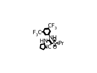 CC(C)S(=O)(=O)/C(C#N)=C(\Nc1cc(C(F)(F)F)cc(C(F)(F)F)c1)NC1CCCC1